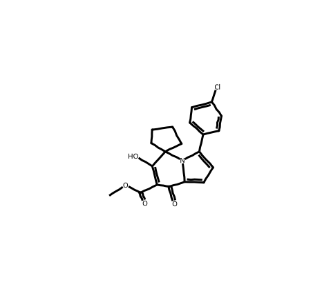 COC(=O)C1=C(O)C2(CCCC2)n2c(ccc2-c2ccc(Cl)cc2)C1=O